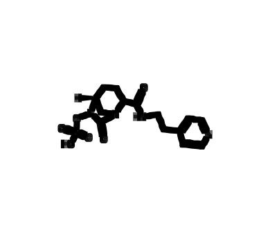 O=C(NCCc1ccncc1)C1CC[C@@H]2CN1C(=O)N2OS(=O)(=O)O